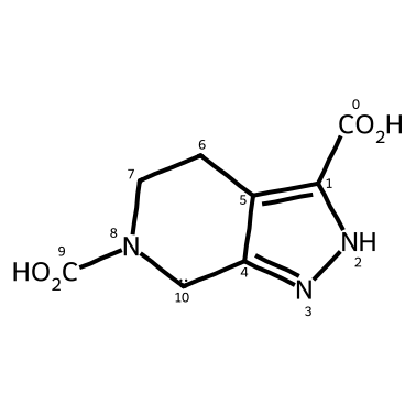 O=C(O)c1[nH]nc2c1CCN(C(=O)O)[C]2